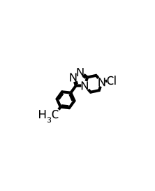 Cc1ccc(-c2nnc3n2CCN(Cl)C3)cc1